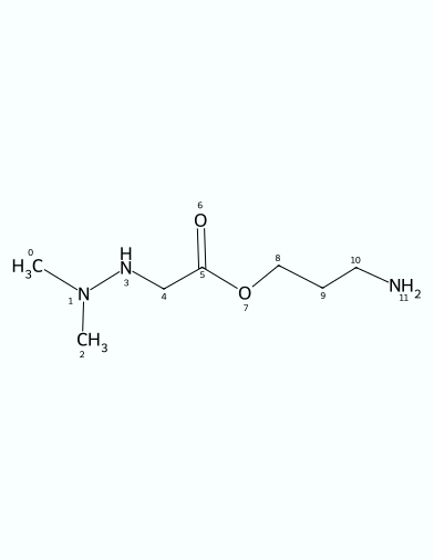 CN(C)NCC(=O)OCCCN